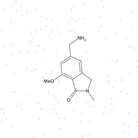 COc1cc(CN)cc2c1C(=O)N(C)C2